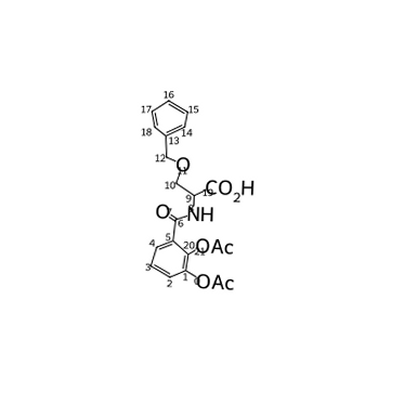 CC(=O)Oc1cccc(C(=O)NC(COCc2ccccc2)C(=O)O)c1OC(C)=O